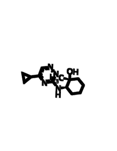 C[C@@]1(O)CCCC[C@H]1Nc1nncc(C2CC2)n1